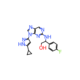 OCC(Nc1ncc2ncn(-c3cc(C4CC4)[nH]n3)c2n1)c1ccc(F)cc1